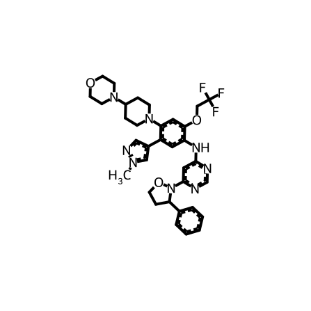 Cn1cc(-c2cc(Nc3cc(N4OCCC4c4ccccc4)ncn3)c(OCC(F)(F)F)cc2N2CCC(N3CCOCC3)CC2)cn1